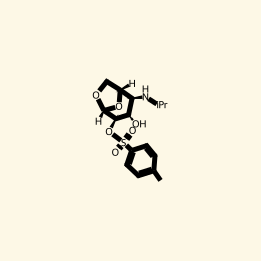 Cc1ccc(S(=O)(=O)O[C@H]2[C@@H]3OC[C@@H](O3)[C@@H](NC(C)C)[C@@H]2O)cc1